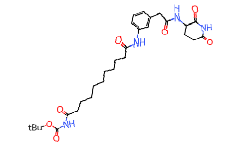 CC(C)(C)OC(=O)NC(=O)CCCCCCCCCC(=O)Nc1cccc(CC(=O)NC2CCC(=O)NC2=O)c1